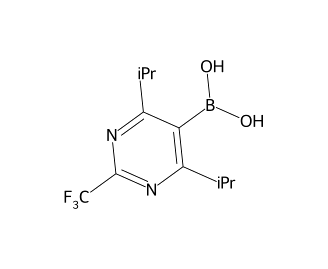 CC(C)c1nc(C(F)(F)F)nc(C(C)C)c1B(O)O